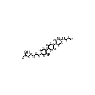 C=CCOc1ccc(-c2ccc(-c3ccc(C=CCCCC(C)O)cc3F)cc2)cn1